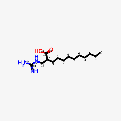 CCCCCCCCCCC(CNC(=N)N)C(=O)O